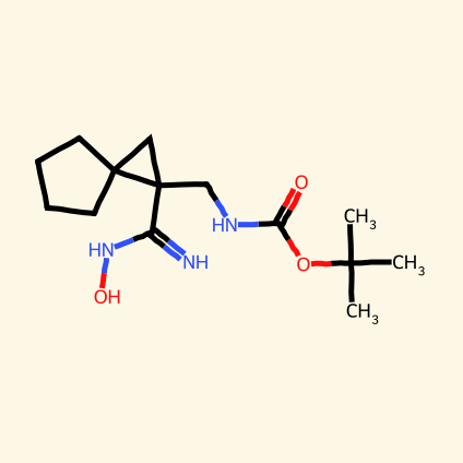 CC(C)(C)OC(=O)NCC1(C(=N)NO)CC12CCCC2